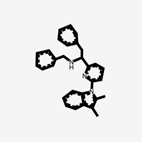 Cc1c(C)n(-c2cccc(C(Cc3ccccc3)NCc3ccccc3)n2)c2ccccc12